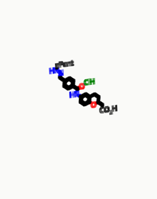 CCCCCNN=Cc1ccc(C(=O)Nc2ccc3c(c2)CCC(CC(=O)O)O3)cc1.Cl